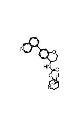 O=C(NC1CCOc2cc(-c3cccc4cnccc34)ccc21)O[C@H]1CN2CCC1CC2